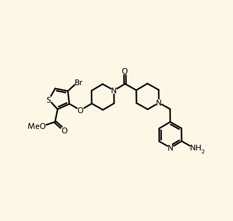 COC(=O)c1scc(Br)c1OC1CCN(C(=O)C2CCN(Cc3ccnc(N)c3)CC2)CC1